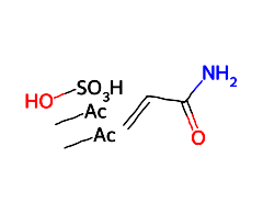 C=CC(N)=O.CC(C)=O.CC(C)=O.O=S(=O)(O)O